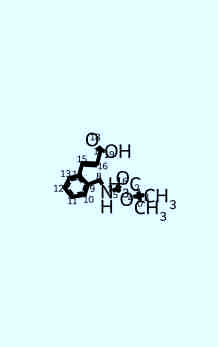 CC(C)(C)OC(=O)NCc1ccccc1/C=C/C(=O)O